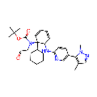 Cc1cnn(C)c1-c1ccc(NC2C=CC=C[C@]2(C2CCCCC2)N(CC=O)C(=O)OC(C)(C)C)nc1